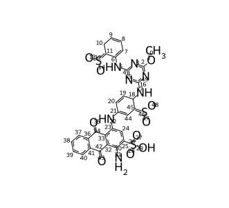 COc1nc(NC2=CC=CCC2=S(=O)=O)nc(NC2C=CC(Nc3cc(S(=O)(=O)O)c(N)c4c3C(=O)c3ccccc3C4=O)=CC2=S(=O)=O)n1